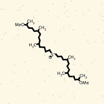 COC(C)CCCC(C)CCCC(C)CCCC[S+]([O-])CCCCC(C)CCCC(C)CCCC(C)OC